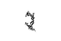 Cc1c(CN2CC3CCN(c4nc(N)nc5sc(CC(F)(F)F)cc45)CC3C2)ccc2c1cc(C#N)n2C[C@H](C)N1CCN(S(C)(=O)=O)CC1